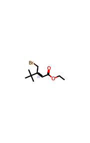 CCOC(=O)/C=C(\CBr)C(C)(C)C